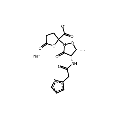 C[C@H]1ON(C2(C(=O)[O-])CCC(=O)O2)C(=O)[C@H]1NC(=O)Cc1cccs1.[Na+]